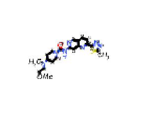 COCCN(C)C1CCN(C(=O)Nc2cc3nc(-c4nnc(C)s4)ccc3cn2)CC1